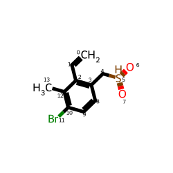 C=Cc1c(C[SH](=O)=O)ccc(Br)c1C